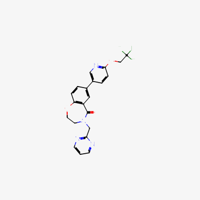 O=C1c2cc(-c3ccc(OCC(F)(F)F)nc3)ccc2OCCN1Cc1ncccn1